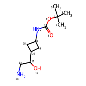 CC(C)(C)OC(=O)NC1CC(C(O)CN)C1